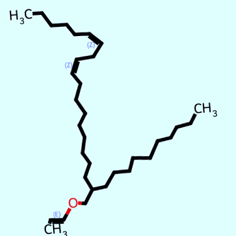 C/C=C/OCC(CCCCCCCC/C=C\C/C=C\CCCCC)CCCCCCCCCC